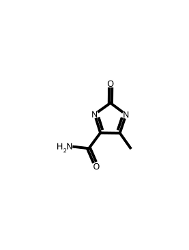 CC1=NC(=O)N=C1C(N)=O